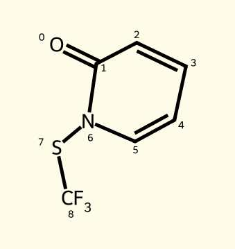 O=c1ccccn1SC(F)(F)F